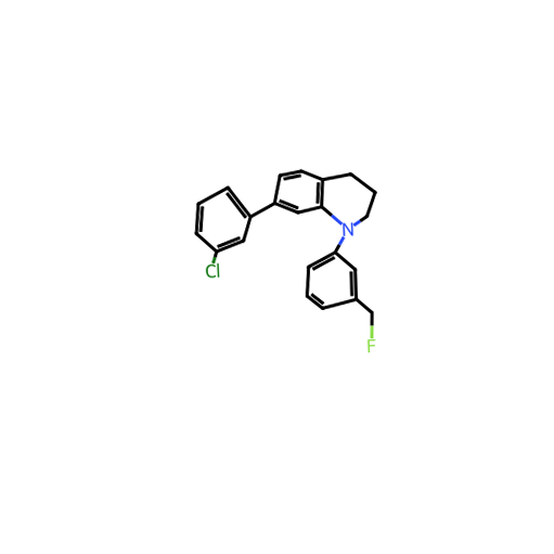 FCc1cccc(N2CCCc3ccc(-c4cccc(Cl)c4)cc32)c1